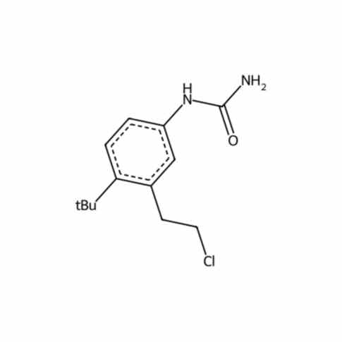 CC(C)(C)c1ccc(NC(N)=O)cc1CCCl